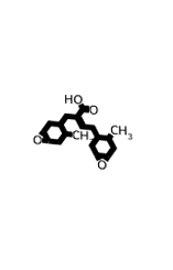 CC1CC2OC2CC1CC=C(CC1CC2OC2CC1C)C(=O)O